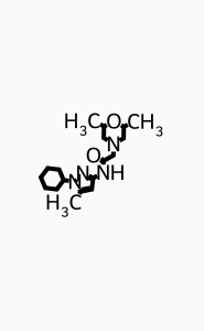 Cc1cc(NC(=O)CN2CC(C)OC(C)C2)nn1C1CCCCC1